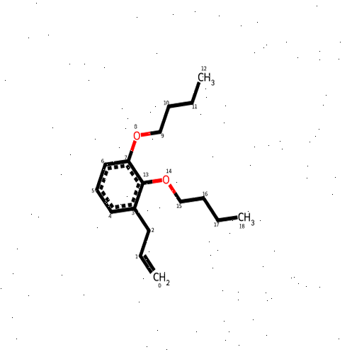 C=CCc1cccc(OCCCC)c1OCCCC